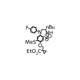 CCCCC1CN(c2ccc(F)cc2)c2cc(SC)c(OCC3(C(=O)OCC)CC3)cc2S(=O)(=O)N1